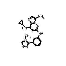 Cn1cnnc1-c1cccc(Nc2cc(NC3CC3)c3ncc(N)n3n2)c1